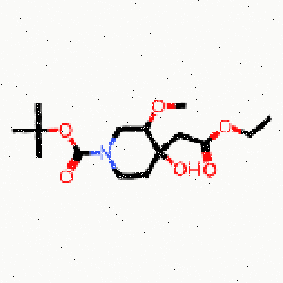 CCOC(=O)CC1(O)CCN(C(=O)OC(C)(C)C)CC1OC